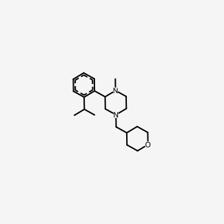 CC(C)c1ccccc1C1CN(CC2CCOCC2)CCN1C